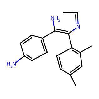 C/C=N\C(=C(/N)c1ccc(N)cc1)c1ccc(C)cc1C